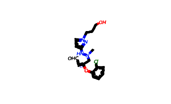 CN(C/C(=C\C=O)Oc1ccccc1Cl)Nc1ccn(CCCO)n1